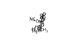 C[Si](C)(C)CNC(=O)Cc1nc2cnc3c(ccn3S(=O)(=O)c3ccccc3)c2n1[C@H]1CC[C@H](CC#N)CC1